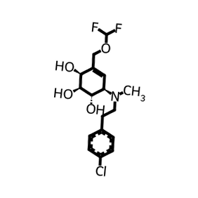 CN(CCc1ccc(Cl)cc1)[C@@H]1C=C(COC(F)F)[C@H](O)[C@H](O)[C@H]1O